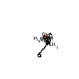 COc1cc(O)c2c3c1O[C@H]1[C@@H](N(C)C(=O)CCCCCCCCCCc4ccccc4)CC[C@H]4[C@@H](C2)N(CC2CC2)CC[C@@]341